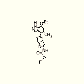 CCOc1cc(C)c(-c2ccc3nc(NC(=O)[C@@H]4C[C@@H]4F)cn3c2)c2cn[nH]c12